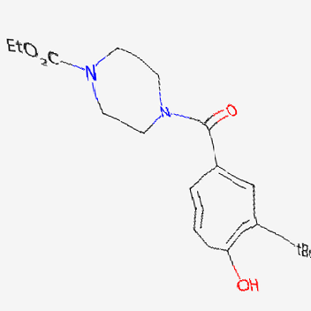 CCOC(=O)N1CCN(C(=O)c2ccc(O)c(C(C)(C)C)c2)CC1